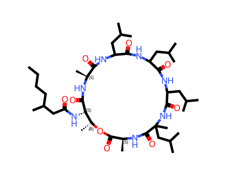 CCCCC(C)CC(=O)N[C@@H]1C(=O)N[C@@H](C)C(=O)NC(CC(C)C)C(=O)NC(CC(C)C)C(=O)NC(CC(C)C)C(=O)NC(C)(CC(C)C)C(=O)N[C@@H](C)C(=O)O[C@@H]1C